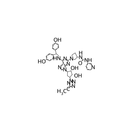 CCc1nnn([C@H]2C[C@@H](n3cnc4c(NCC(c5ccc(O)cc5)c5ccc(O)cc5)nc(N5CCC(NC(=O)Nc6cccnc6)C5)nc43)[C@H](O)[C@@H]2O)n1